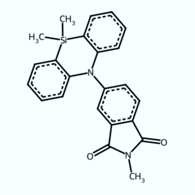 CN1C(=O)c2ccc(N3c4ccccc4[Si](C)(C)c4ccccc43)cc2C1=O